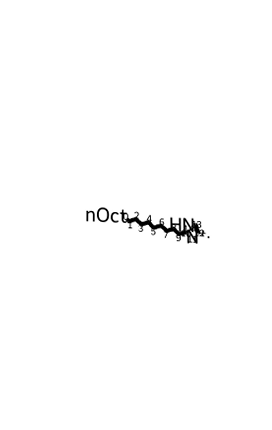 CCCCCCCCCCCCCCCCCC1=[N+]C=CN1